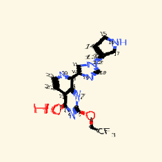 Oc1nc(OCC(F)(F)F)nc2c(-c3cn(C4CCNC4)cn3)nccc12